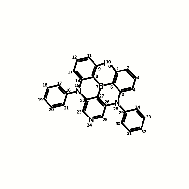 Cc1cccc2c1B1c3c(I)cccc3N(c3ccccc3)c3cncc(c31)N2c1ccccc1